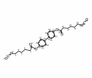 O=C=NCCCCCC(=O)Oc1ccc(-c2ccc(OC(=O)CCCCCN=C=O)cc2)cc1